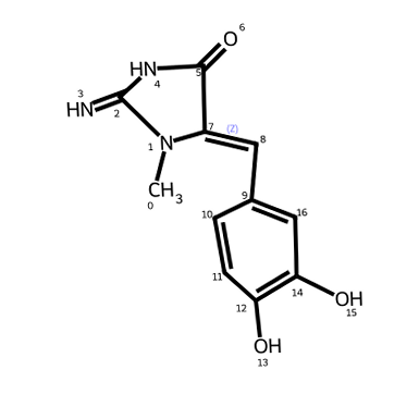 CN1C(=N)NC(=O)/C1=C/c1ccc(O)c(O)c1